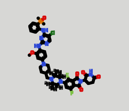 [2H]C1([2H])N(CC2CCN(c3ccc(Nc4ncc(Cl)c(Nc5ccccc5P(C)(C)=O)n4)c(OC)c3)CC2)C([2H])([2H])C([2H])([2H])N(c2cc(F)c3c(c2F)C(=O)N(C2CCC(=O)NC2=O)C3=O)C1([2H])[2H]